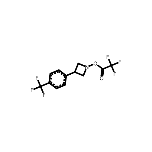 O=C(ON1CC(c2ccc(C(F)(F)F)cc2)C1)C(F)(F)F